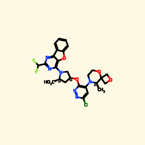 C[C@H]1N(c2cc(Cl)nnc2O[C@H]2C[C@@H](C(=O)O)N(c3nc(C(F)F)nc4c3oc3ccccc34)C2)CCOC12COC2